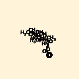 CO[C@@H](C(=O)N[C@@H](C)C(=O)NCCOC(=O)c1ccccc1)[C@H](O)[C@@H](O)[C@H](O)/C=C/C(C)(C)C